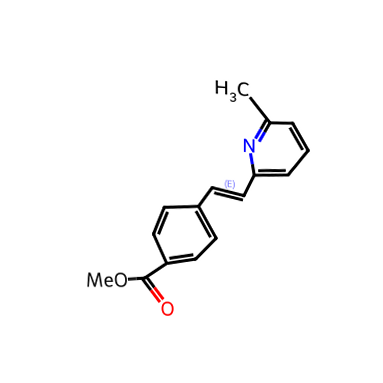 COC(=O)c1ccc(/C=C/c2cccc(C)n2)cc1